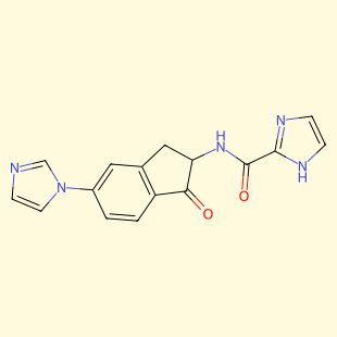 O=C(NC1Cc2cc(-n3ccnc3)ccc2C1=O)c1ncc[nH]1